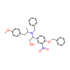 COc1ccc(CC(C)N(Cc2ccccc2)C(CO)c2ccc(OCc3ccccc3)c([N+](=O)[O-])c2)cc1